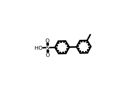 Cc1cccc(-c2ccc(S(=O)(=O)O)cc2)c1